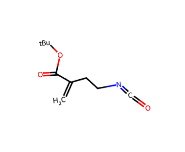 C=C(CCN=C=O)C(=O)OC(C)(C)C